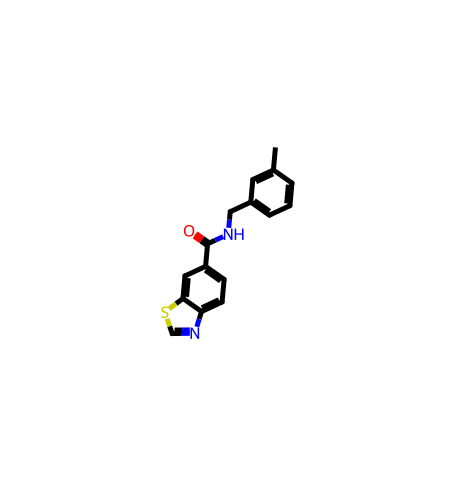 Cc1cccc(CNC(=O)c2ccc3ncsc3c2)c1